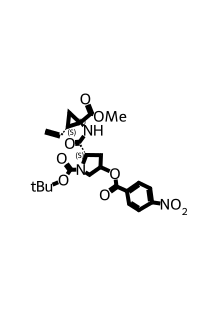 C=C[C@@H]1C[C@]1(NC(=O)[C@@H]1CC(OC(=O)c2ccc([N+](=O)[O-])cc2)CN1C(=O)OC(C)(C)C)C(=O)OC